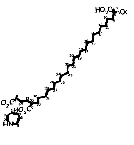 C1=CC=CNC=C1.CCCCCCCCC(CCCCCCCCCCCCCCCCCCCCCCCC(CCCC(=O)O)C(=O)O)C(=O)O